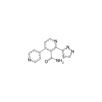 NC(=O)c1c(-c2ccncc2)ccnc1-c1nncs1